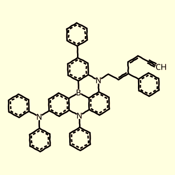 C#C/C=C\C(=C/CN1c2cc(-c3ccccc3)ccc2B2c3ccc(N(c4ccccc4)c4ccccc4)cc3N(c3ccccc3)c3cccc1c32)c1ccccc1